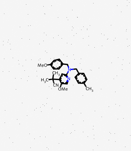 COc1ccc(CN(Cc2ccc(C)cc2)c2cc(C(C)(C)C#N)c(OC)cn2)cc1